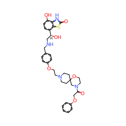 O=C(COc1ccccc1)N1CCOC2(CCN(CCOc3ccc(CNC[C@H](O)c4ccc(O)c5[nH]c(=O)sc45)cc3)CC2)C1